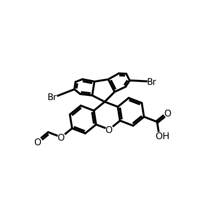 O=COc1ccc2c(c1)Oc1cc(C(=O)O)ccc1C21c2cc(Br)ccc2-c2ccc(Br)cc21